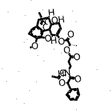 COc1ccc2c3c1O[C@H]1C(OC(=O)[C@H](C)OC(=O)CCNC(=O)[C@@H](OC(C)=O)c4ccccc4)=CC[C@@]4(O)[C@@H](C2)N(C)CC[C@]314